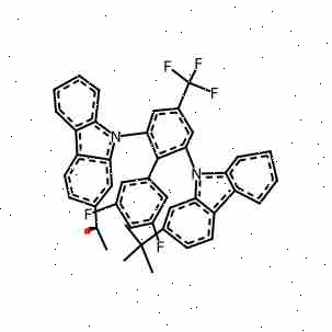 CC(C)(C)c1ccc2c3ccccc3n(-c3cc(C(F)(F)F)cc(-n4c5ccccc5c5ccc(C(C)(C)C)cc54)c3-c3cc(F)cc(F)c3)c2c1